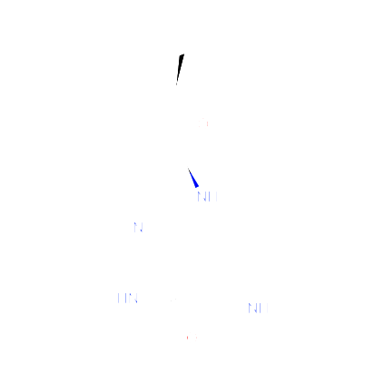 CC[C@@H]1CC[C@H](Nc2nc[nH]c(=O)c2C=N)O1